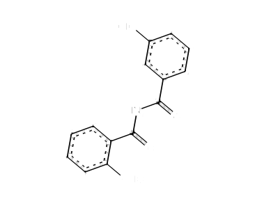 O=Cc1cccc(C(=O)NC(=O)c2ccccc2C=O)c1